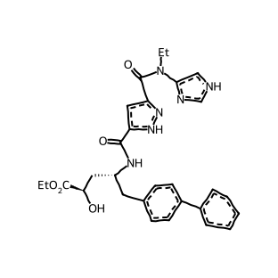 CCOC(=O)[C@H](O)C[C@@H](Cc1ccc(-c2ccccc2)cc1)NC(=O)c1cc(C(=O)N(CC)c2c[nH]cn2)n[nH]1